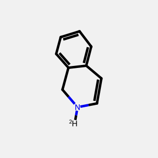 [2H]N1C=Cc2ccccc2C1